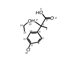 CC(C)(C(=O)O)c1ccc(Cl)cc1.CCO